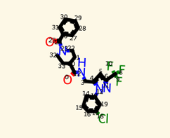 O=C(NCc1cc(C(F)(F)F)nn1-c1cccc(Cl)c1)C1CCN(C(=O)c2ccccc2)CC1